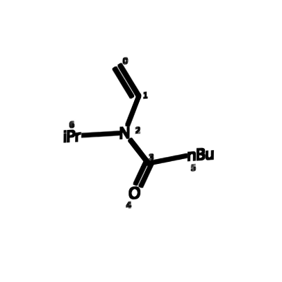 C=CN(C(=O)CCCC)C(C)C